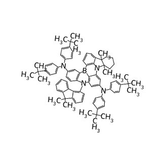 CC(C)(C)c1ccc(N(c2ccc(C(C)(C)C)cc2)c2ccc3c(c2)B2c4cccc5c4N(c4cc(N(c6ccc(C(C)(C)C)cc6)c6ccc(C(C)(C)C)cc6)cc(c42)N3c2cccc3c2-c2ccccc2C3(C)C)C2(C)CCCCC52C)cc1